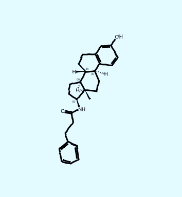 C[C@]12CC[C@@H]3c4ccc(O)cc4CC[C@H]3[C@@H]1CC[C@@H]2NC(=O)CCc1ccccc1